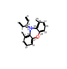 C=CB(C=C)N1c2c(C)cccc2Oc2cccc(C)c21